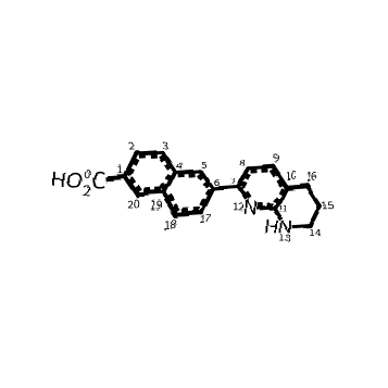 O=C(O)c1ccc2cc(-c3ccc4c(n3)NCCC4)ccc2c1